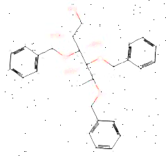 CO[C@@](C=O)(OCc1ccccc1)[C@](O)(OCc1ccccc1)[C@@](O)(OCc1ccccc1)[C@H](O)CO